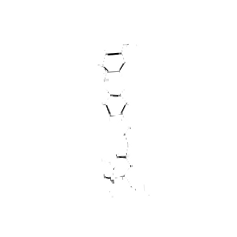 CCOP(=O)(OCC)C(N)CC(=O)CCOc1ccc(Oc2ccc(C(F)(F)F)cc2)cc1